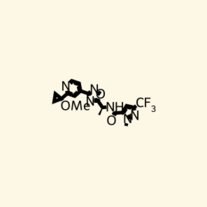 COC1(c2cc(-c3noc([C@H](C)NC(=O)c4cc(C(F)(F)F)nn4C)n3)ccn2)CC1